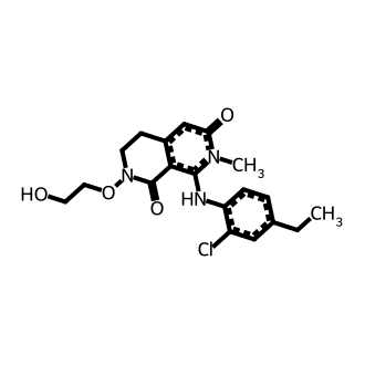 CCc1ccc(Nc2c3c(cc(=O)n2C)CCN(OCCO)C3=O)c(Cl)c1